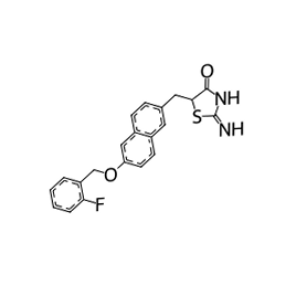 N=C1NC(=O)C(Cc2ccc3cc(OCc4ccccc4F)ccc3c2)S1